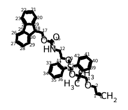 C=CCOCC(C)(C)O[Si](OCCNC(=O)OCC1c2ccccc2-c2ccccc21)(c1ccccc1)c1ccccc1